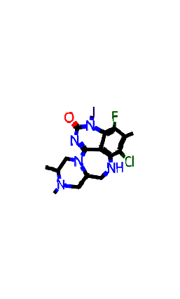 Cc1c(Cl)c2c3c(nc(=O)n(I)c3c1F)N1CC(C)N(C)CC1CN2